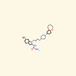 N#Cc1ccc2cc(NC(N)=O)n(CCCCN3CCN(c4ccc5c(c4)CCCCO5)CC3)c2c1